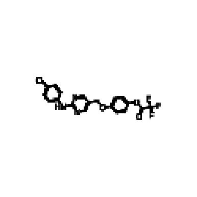 O=C(Oc1ccc(OCc2cnc(Nc3ccc(Cl)cc3)nc2)cc1)C(F)(F)F